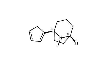 CN1[C@@H]2CCC[C@@]1(C1=CC=CC1)CC2